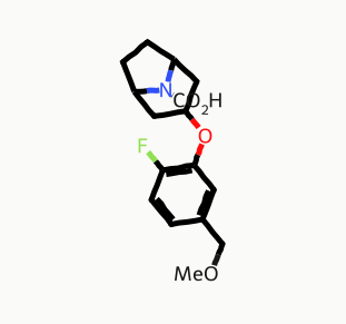 COCc1ccc(F)c(OC2CC3CCC(C2)N3C(=O)O)c1